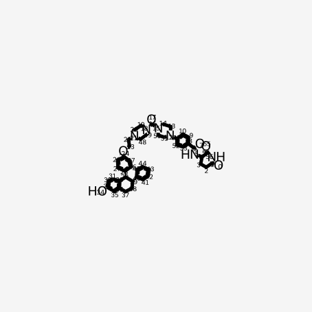 O=C1CCC(NC(=O)c2ccc(N3CCN(C(=O)N4CCN(CCOc5ccc([C@@H]6c7ccc(O)cc7CC[C@@H]6c6ccccc6)cc5)CC4)CC3)cc2)C(=O)N1